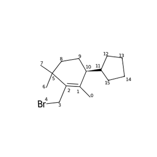 CC1=C(CBr)C(C)(C)CC[C@H]1C1CCCC1